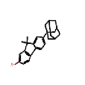 CC1(C)c2cc(Br)ccc2-c2ccc(C34CC5CC(CC(C5)C3)C4)cc21